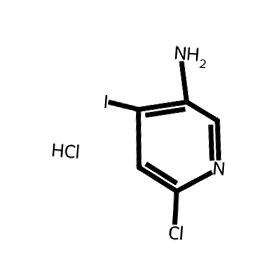 Cl.Nc1cnc(Cl)cc1I